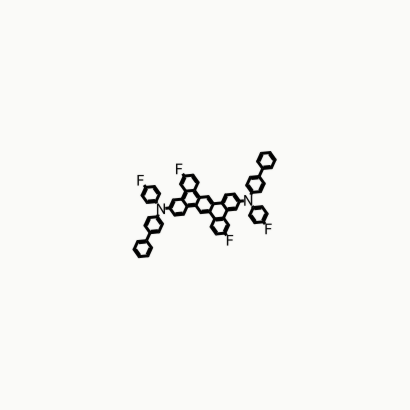 Fc1ccc(N(c2ccc(-c3ccccc3)cc2)c2ccc3c(c2)c2cc(F)ccc2c2cc4c5ccc(N(c6ccc(F)cc6)c6ccc(-c7ccccc7)cc6)cc5c5cc(F)ccc5c4cc32)cc1